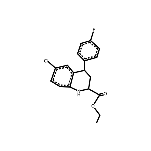 CCOC(=O)C1CC(c2ccc(F)cc2)c2cc(Cl)ccc2N1